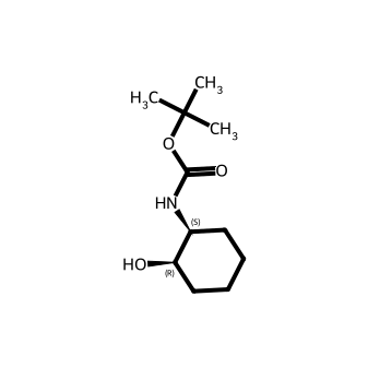 CC(C)(C)OC(=O)N[C@H]1CCCC[C@H]1O